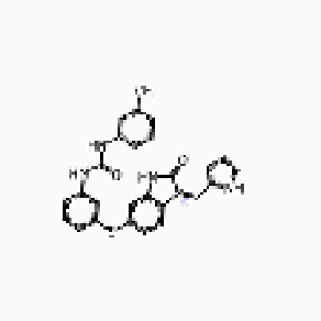 O=C(Nc1cccc(Sc2ccc3c(c2)NC(=O)/C3=C\c2ccc[nH]2)c1)Nc1cccc(C(F)(F)F)c1